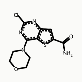 NC(=O)c1cc2nc(Cl)nc(N3CCOCC3)c2s1